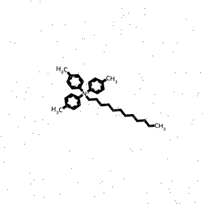 CCCCCCCCCCCC[N+](c1ccc(C)cc1)(c1ccc(C)cc1)c1ccc(C)cc1